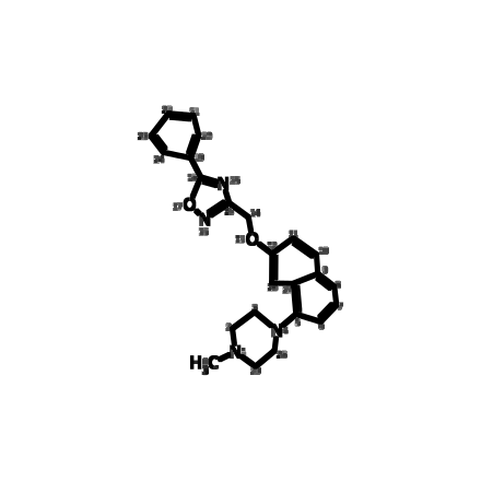 CN1CCN(c2cccc3ccc(OCc4noc(-c5ccccc5)n4)cc23)CC1